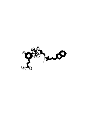 CN(C[C@H](O)CNC(C)(C)CCCC1Cc2ccccc2C1)S(=O)(=O)c1cc(F)cc(CCC(=O)O)c1